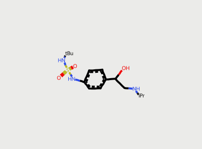 CC(C)NCC(O)c1ccc(NS(=O)(=O)NC(C)(C)C)cc1